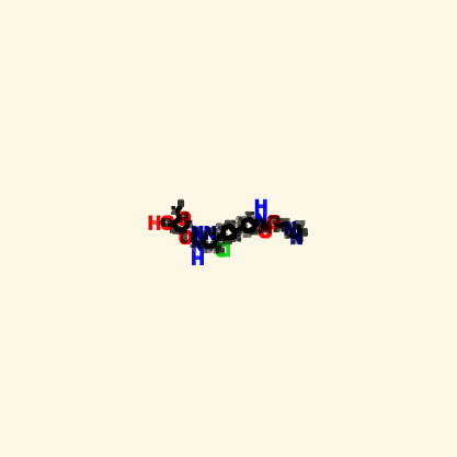 CC[C@H]1OC[C@H](Oc2nc3nc(-c4ccc(-c5ccc(NC(=O)OCCn6ccnc6)cc5)cc4)c(Cl)cc3[nH]2)C[C@@H]1O